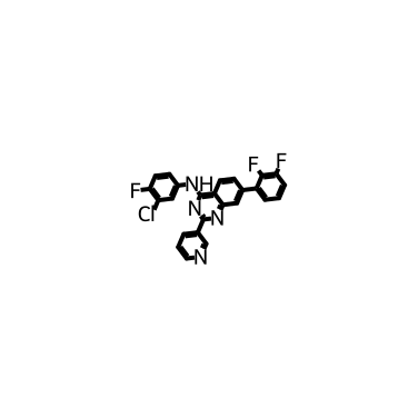 Fc1ccc(Nc2nc(-c3cccnc3)nc3cc(-c4cccc(F)c4F)ccc23)cc1Cl